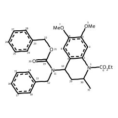 CCOC(=O)N1c2cc(OC)c(OC)cc2C(N(Cc2ccccc2)C(=O)OCc2ccccc2)CC1C